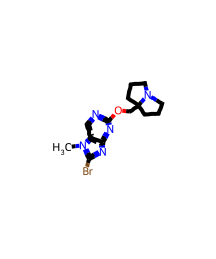 Cn1c(Br)nc2nc(OCC34CCCN3CCC4)ncc21